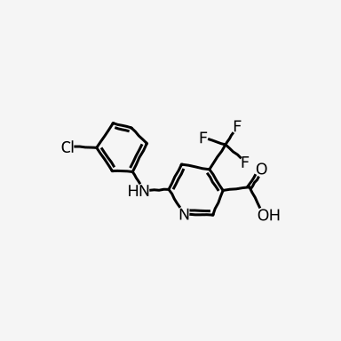 O=C(O)c1cnc(Nc2cccc(Cl)c2)cc1C(F)(F)F